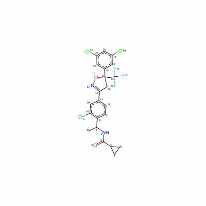 CC(NC(=O)C1CC1)c1ccc(C2=NOC(c3cc(Cl)cc(Cl)c3)(C(F)(F)F)C2)cc1Cl